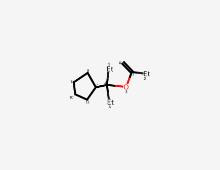 C=C(CC)OC(CC)(CC)C1CCCC1